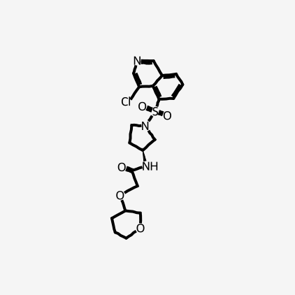 O=C(COC1CCCOC1)N[C@H]1CCN(S(=O)(=O)c2cccc3cncc(Cl)c23)C1